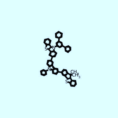 CC1(C)c2ccc(-c3ccc4c(c3)c3cc(-c5ccc6c(c5)C5Sc7ccccc7C5N6c5cc(-c6ccccc6)cc(-c6ccccc6)c5)ccc3n4-c3ccccc3)cc2C2Sc3ccccc3C21